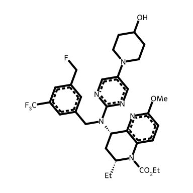 CCOC(=O)N1c2ccc(OC)nc2[C@@H](N(Cc2cc(CF)cc(C(F)(F)F)c2)c2ncc(N3CCC(O)CC3)cn2)C[C@H]1CC